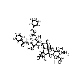 CC1C[C@@H]2OC(O[C@H]3OC(CO)[C@@H](N)[C@H](O)C3O)C3C(OC(=O)N3C)C2O[C@@H]1O[C@@H]1C(NC(=O)OCc2ccccc2)C[C@@H](NCC(=O)c2ccccc2)C(O)[C@H]1F